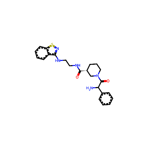 NC(C(=O)N1CCC[C@@H](C(=O)NCCNc2nsc3ccccc23)C1)c1ccccc1